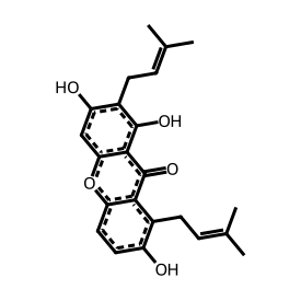 CC(C)=CCc1c(O)cc2oc3ccc(O)c(CC=C(C)C)c3c(=O)c2c1O